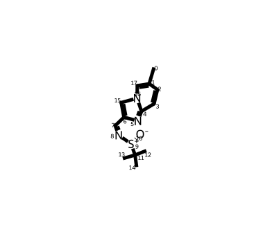 Cc1ccc2nc(/C=N\[S+]([O-])C(C)(C)C)cn2c1